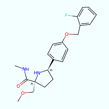 CNC(=O)[C@]1(COC)CC[C@H](c2ccc(OCc3ccccc3F)cc2)N1